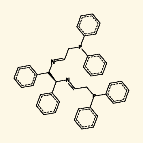 C(/CP(c1ccccc1)c1ccccc1)=N\C(c1ccccc1)[C@@H](/N=C/CP(c1ccccc1)c1ccccc1)c1ccccc1